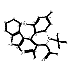 CC(=O)[C@@H](OC(C)(C)C)c1c(C)nc2sc3c(c2c1C1CC=C(C)C=C1O)CCCC3